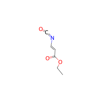 CCOC(=O)C=CN=C=O